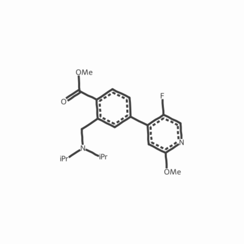 COC(=O)c1ccc(-c2cc(OC)ncc2F)cc1CN(C(C)C)C(C)C